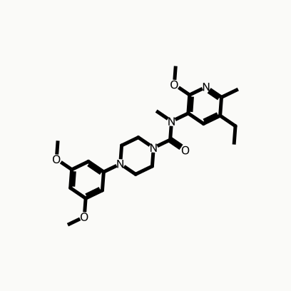 CCc1cc(N(C)C(=O)N2CCN(c3cc(OC)cc(OC)c3)CC2)c(OC)nc1C